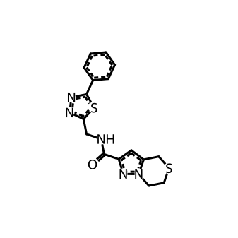 O=C(NCc1nnc(-c2ccccc2)s1)c1cc2n(n1)CCSC2